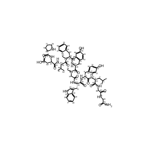 CC(C)C[C@H](NC(=O)[C@H](Cc1ccc(O)cc1)NC(=O)[C@H](Cc1c[nH]c2ccccc12)NC(=O)CN(C)C(=O)[C@H](Cc1ccc(O)cc1)NC(=O)[C@H](Cc1ccccc1)N(C)C(=O)[C@@H](NC(=O)C(CC(=O)O)NC(=O)[C@@H]1CCCN1)C(C)C)C(=O)NCC(=O)NCC(N)=O